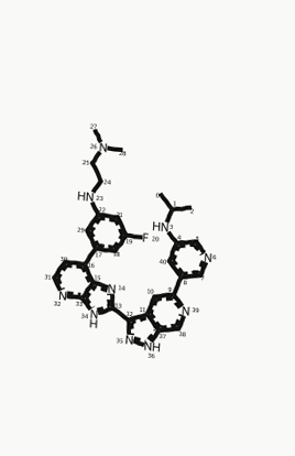 CC(C)Nc1cncc(-c2cc3c(-c4nc5c(-c6cc(F)cc(NCCN(C)C)c6)ccnc5[nH]4)n[nH]c3cn2)c1